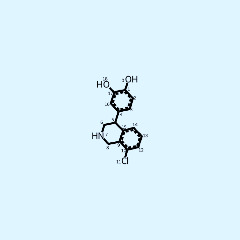 Oc1ccc(C2CNCc3c(Cl)cccc32)cc1O